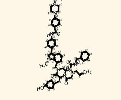 C=CCN1CC(=O)N2[C@@H](Cc3ccc(O)cc3)C(=O)N(Cc3cccc4c(-c5ccc(NC(=O)c6ccc(N7CCN(C)CC7)cc6)cc5)cn(C)c34)C[C@@H]2N1C(=O)NCc1ccccc1